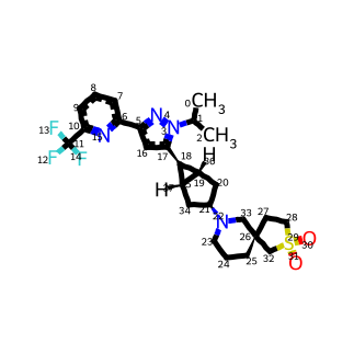 CC(C)n1nc(-c2cccc(C(F)(F)F)n2)cc1[C@H]1[C@@H]2C[C@@H](N3CCC[C@]4(CCS(=O)(=O)C4)C3)C[C@@H]21